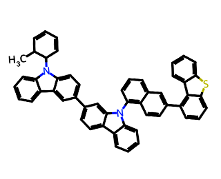 CC1C=CC=CC1n1c2ccccc2c2cc(-c3ccc4c5ccccc5n(-c5cccc6cc(-c7cccc8sc9ccccc9c78)ccc56)c4c3)ccc21